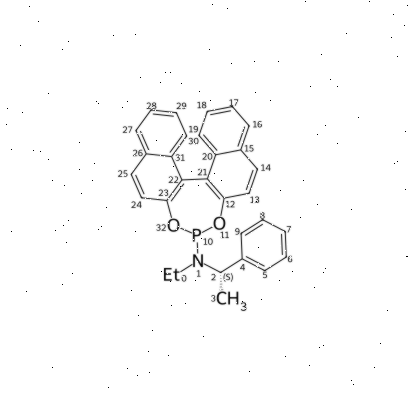 CCN([C@@H](C)c1ccccc1)p1oc2ccc3ccccc3c2c2c(ccc3ccccc32)o1